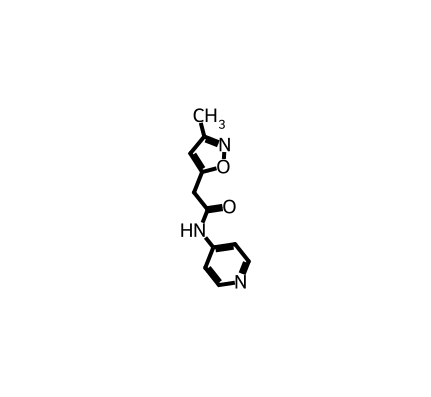 Cc1cc(CC(=O)Nc2ccncc2)on1